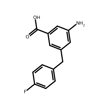 Nc1cc(Cc2ccc(F)cc2)cc(C(=O)O)c1